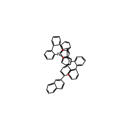 c1ccc(-c2ccccc2N(c2ccc(-c3ccc4ccccc4c3)cc2)c2ccc(-c3ccccc3-c3ccccc3-n3c4ccccc4c4ccccc43)cc2)cc1